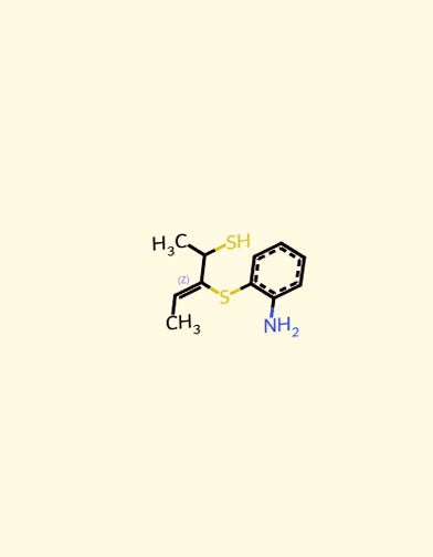 C/C=C(\Sc1ccccc1N)C(C)S